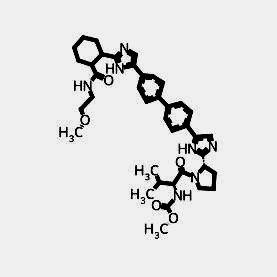 COCCNC(=O)C1CCCCC1c1ncc(-c2ccc(-c3ccc(-c4cnc([C@@H]5CCCN5C(=O)[C@@H](NC(=O)OC)C(C)C)[nH]4)cc3)cc2)[nH]1